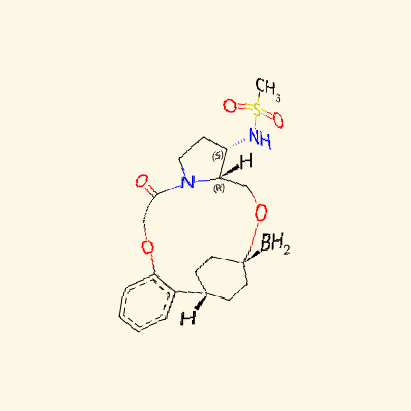 B[C@]12CC[C@H](CC1)c1ccccc1OCC(=O)N1CC[C@H](NS(C)(=O)=O)[C@@H]1CO2